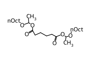 CCCCCCCCOC(C)OC(=O)CCCCC(=O)OC(C)OCCCCCCCC